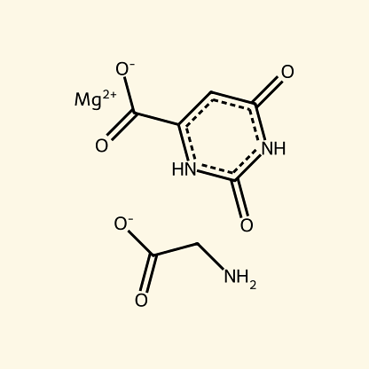 NCC(=O)[O-].O=C([O-])c1cc(=O)[nH]c(=O)[nH]1.[Mg+2]